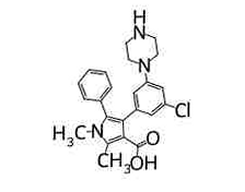 Cc1c(C(=O)O)c(-c2cc(Cl)cc(N3CCNCC3)c2)c(-c2ccccc2)n1C